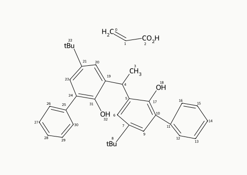 C=CC(=O)O.CC(c1cc(C(C)(C)C)cc(-c2ccccc2)c1O)c1cc(C(C)(C)C)cc(-c2ccccc2)c1O